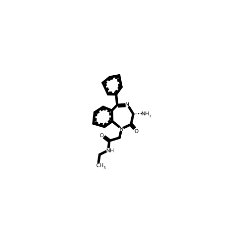 CCNC(=O)CN1C(=O)[C@@H](N)N=C(c2ccccc2)c2ccccc21